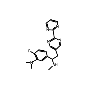 CBC(Cc1cnc(-c2ncccn2)nc1)c1ccc(F)c(N(C)C)c1